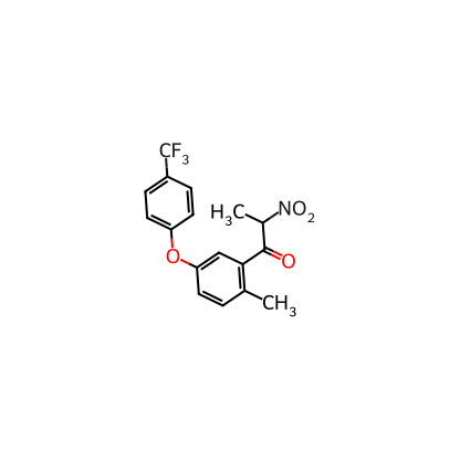 Cc1ccc(Oc2ccc(C(F)(F)F)cc2)cc1C(=O)C(C)[N+](=O)[O-]